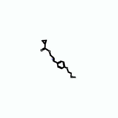 CCCCCCCCCCCCOc1ccc(/C=C/COC(=O)C2CC2)cc1